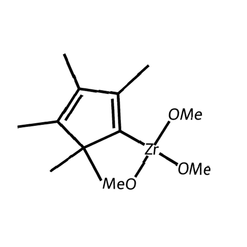 C[O][Zr]([O]C)([O]C)[C]1=C(C)C(C)=C(C)C1(C)C